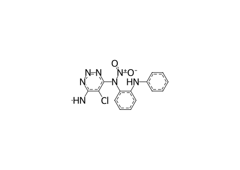 [NH]c1nnnc(N(c2ccccc2Nc2ccccc2)[N+](=O)[O-])c1Cl